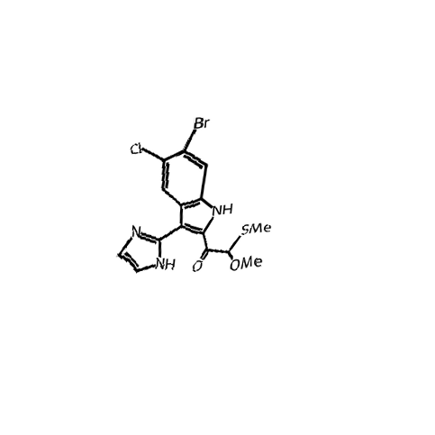 COC(SC)C(=O)c1[nH]c2cc(Br)c(Cl)cc2c1-c1ncc[nH]1